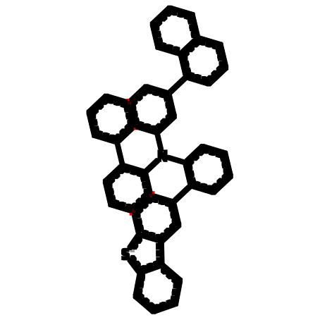 c1ccc(-c2ccccc2N(c2cccc(-c3cccc4ccccc34)c2)c2ccccc2-c2ccc3sc4ccccc4c3c2)cc1